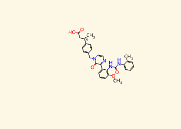 COc1cccc(-c2nccn(Cc3ccc([C@H](C)CC(=O)O)cc3)c2=O)c1NC(=O)Nc1ccccc1C